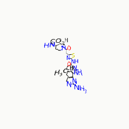 CC1(C)Cc2cnc(N)nc2-c2[nH]nc(C(=O)Nc3nc(CC(=O)N4CCC(NC(=O)O)CC4)cs3)c21